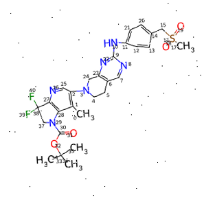 Cc1c(N2CCc3cnc(Nc4ccc(CS(C)(=O)=O)cc4)nc3C2)cnc2c1N(C(=O)OC(C)(C)C)CC2(F)F